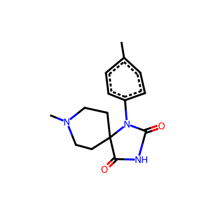 Cc1ccc(N2C(=O)NC(=O)C23CCN(C)CC3)cc1